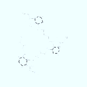 NCC1OB(O)c2c(OCCCOB3OC(CN)c4cccc(OCCCOB5OC(CN)c6cccc(OCCCO)c65)c43)cccc21